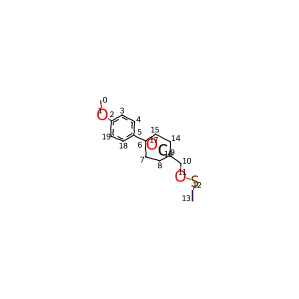 COc1ccc(C23CCC(COSI)(CC2)CO3)cc1